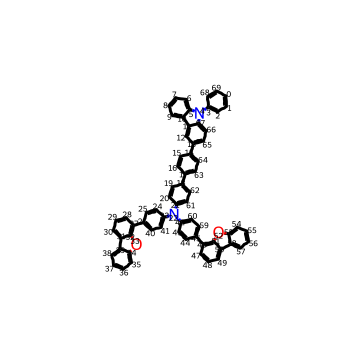 c1ccc(-n2c3ccccc3c3cc(-c4ccc(-c5ccc(N(c6ccc(-c7cccc8c7oc7ccccc78)cc6)c6ccc(-c7cccc8c7oc7ccccc78)cc6)cc5)cc4)ccc32)cc1